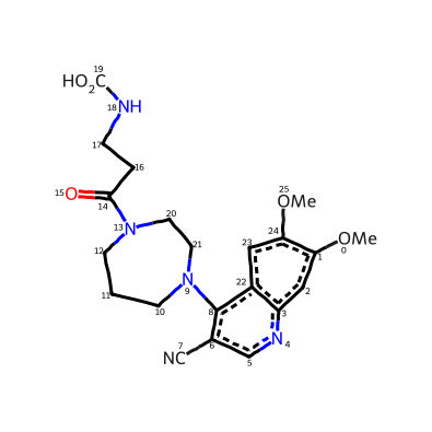 COc1cc2ncc(C#N)c(N3CCCN(C(=O)CCNC(=O)O)CC3)c2cc1OC